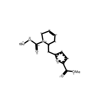 COC(=O)c1ccc(CC2CC=CCN2C(=O)OC(C)(C)C)o1